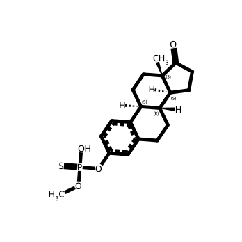 COP(O)(=S)Oc1ccc2c(c1)CC[C@@H]1[C@@H]2CC[C@]2(C)C(=O)CC[C@@H]12